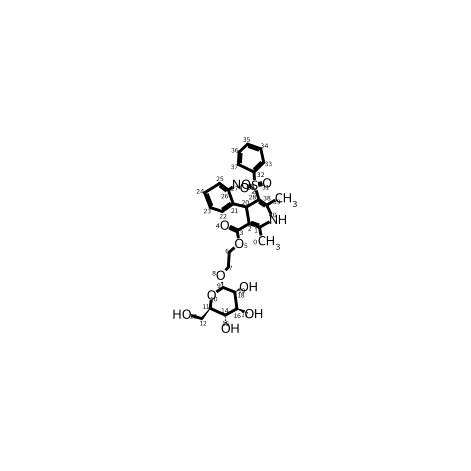 CC1=C(C(=O)OCCO[C@H]2O[C@H](CO)[C@@H](O)[C@H](O)[C@H]2O)C(c2ccccc2[N+](=O)[O-])C(S(=O)(=O)c2ccccc2)=C(C)N1